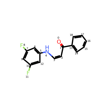 O=C(/C=C\Nc1cc(F)cc(F)c1)c1ccccc1